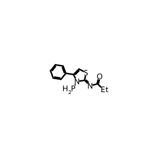 CCC(=O)/N=c1\scc(-c2ccccc2)n1P